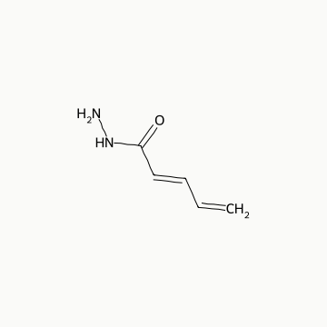 C=CC=CC(=O)NN